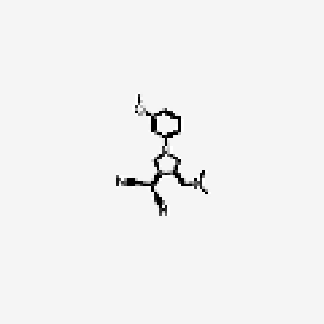 COc1cccc(N2CC(=CN(C)C)C(=C(C#N)C#N)C2)c1